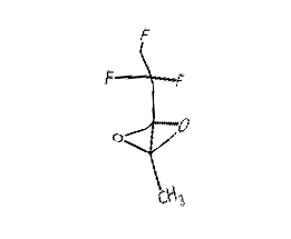 CC12OC1(C(F)(F)F)O2